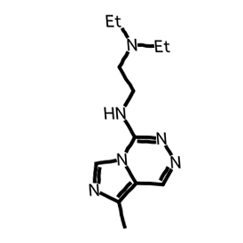 CCN(CC)CCNc1nncc2c(C)ncn12